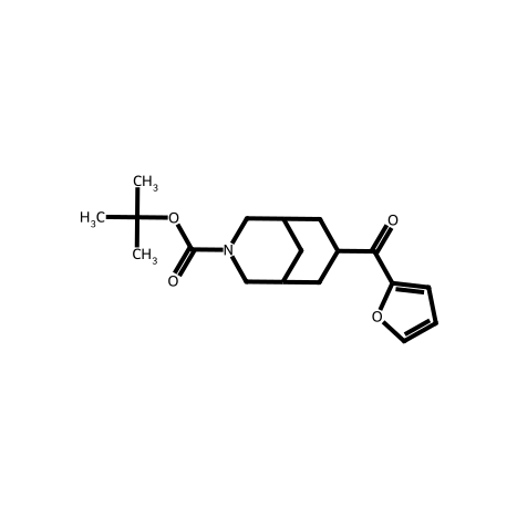 CC(C)(C)OC(=O)N1CC2CC(CC(C(=O)c3ccco3)C2)C1